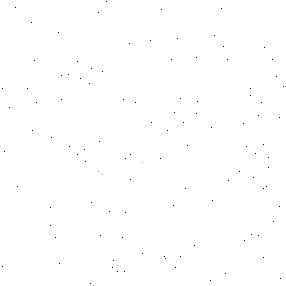 CN1CCC(O)(COc2c(Cl)cccc2Cl)CC1